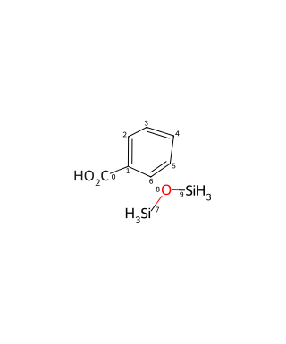 O=C(O)c1ccccc1.[SiH3]O[SiH3]